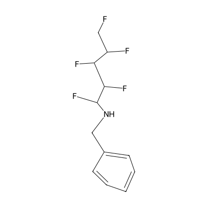 FCC(F)C(F)C(F)C(F)NCc1ccccc1